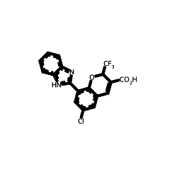 O=C(O)C1=Cc2cc(Cl)cc(-c3nc4ccccc4[nH]3)c2OC1C(F)(F)F